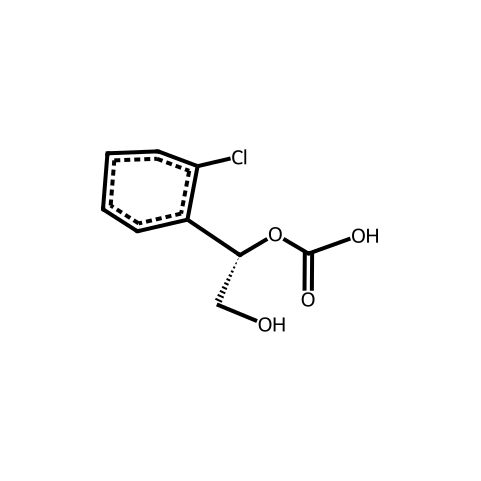 O=C(O)O[C@H](CO)c1ccccc1Cl